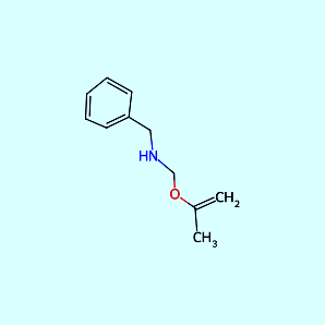 C=C(C)OCNCc1ccccc1